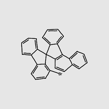 Brc1cccc2c1C1(c3ccccc3-2)c2ccccc2-c2c1ccc1ccccc21